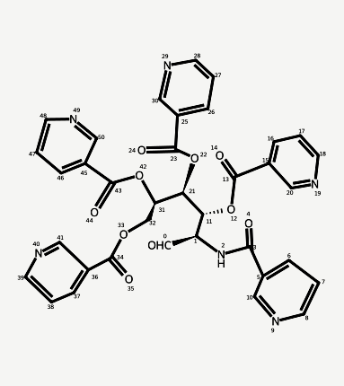 O=C[C@H](NC(=O)c1cccnc1)[C@@H](OC(=O)c1cccnc1)[C@H](OC(=O)c1cccnc1)[C@@H](COC(=O)c1cccnc1)OC(=O)c1cccnc1